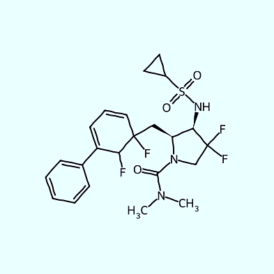 CN(C)C(=O)N1CC(F)(F)[C@H](NS(=O)(=O)C2CC2)[C@@H]1CC1(F)C=CC=C(c2ccccc2)C1F